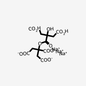 O=C([O-])CC(CC(=O)[O-])(OC(=O)C(O)(CC(=O)O)CC(=O)O)C(=O)[O-].[Na+].[Na+].[Na+]